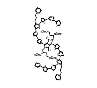 CCCCCCCCCCCCC(CCCCCCCCCC)CN1C(=O)C2=C(c3ccc(-c4ccc(-c5cc(CCCc6ccccc6)c(-c6ccc(-c7ccc(-c8cccs8)s7)s6)s5)s4)s3)N(CC(CCCCCCCCCC)CCCCCCCCCCCC)C(=O)C2=C1c1ccc(-c2ccc(-c3cc(CCCc4ccccc4)c(-c4ccc(-c5ccc(-c6cccs6)s5)s4)s3)s2)s1